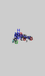 Cc1c(/C=C2\C(=O)Nc3ncnc(Nc4ccc(F)c(Cl)c4)c32)[nH]c2c1C(=O)N(CCN1CCOCC1)CC2